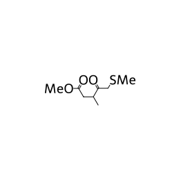 COC(=O)CC(C)C(=O)CSC